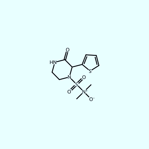 C[N+](C)([O-])S(=O)(=O)N1CCNC(=O)C1c1cccs1